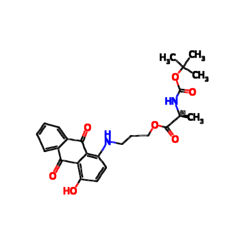 C[C@H](NC(=O)OC(C)(C)C)C(=O)OCCCNc1ccc(O)c2c1C(=O)c1ccccc1C2=O